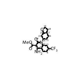 COC(=O)c1c(N)c2ccc(C(F)(F)F)cc2n(-c2ccc3ccoc3c2)c1=O